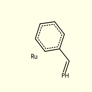 P=Cc1ccccc1.[Ru]